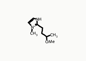 COC(C)CCc1[nH]cc[n+]1C